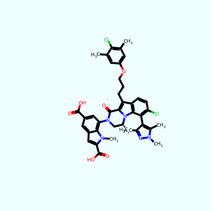 Cc1cc(OCCCc2c3n(c4c(-c5c(C)nn(C)c5C)c(Cl)ccc24)[C@H](C)CN(c2cc(C(=O)O)cc4cc(C(=O)O)n(C)c24)C3=O)cc(C)c1Cl